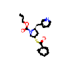 C=CCOC(=O)N1C[C@@H](SC(=O)c2ccccc2)C[C@H]1Cc1cccnc1